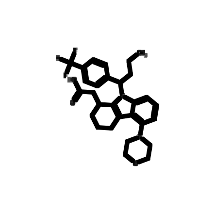 CCCC(c1ccc(C(F)(F)F)cc1)n1c2c(c3c(N4CCOCC4)cccc31)CCCC2CC(=O)O